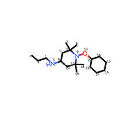 CCCNC1CC(C)(C)N(OC2CCCCC2)C(C)(C)C1